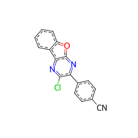 N#Cc1ccc(-c2nc3oc4ccccc4c3nc2Cl)cc1